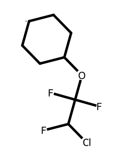 FC(Cl)C(F)(F)OC1CC[CH]CC1